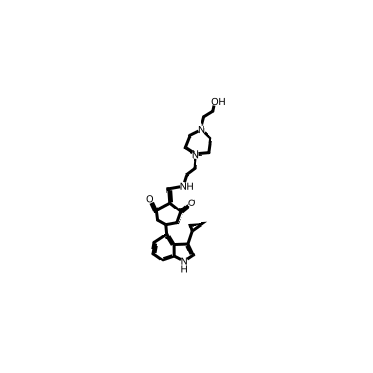 O=C1CC(c2cccc3[nH]cc(C4CC4)c23)CC(=O)C1=CNCCN1CCN(CCO)CC1